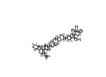 C[C@@H]1Cc2c([nH]c3ccccc23)[C@@H](c2cnc(N3CCC4(CCN(CC5CCN(c6ccc7c(c6)CN(C6CCC(=O)NC6=O)C7O)CC5)CCO4)CC3)nc2)N1CC(C)(C)F